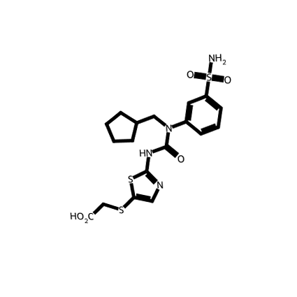 NS(=O)(=O)c1cccc(N(CC2CCCC2)C(=O)Nc2ncc(SCC(=O)O)s2)c1